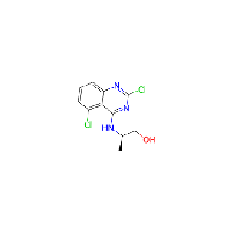 C[C@H](CO)Nc1nc(Cl)nc2cccc(Cl)c12